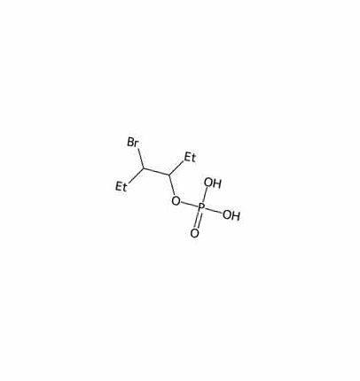 CCC(Br)C(CC)OP(=O)(O)O